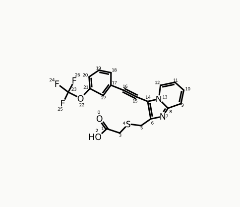 O=C(O)CSCc1nc2ccccn2c1C#Cc1cccc(OC(F)(F)F)c1